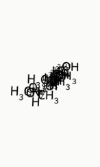 COC(=O)NC[C@@H](C)CCC1=C(C)[C@H]2[C@H](C[C@H]3[C@@H]4CC[C@H]5C[C@@H](O)CC[C@]5(C)[C@H]4CC[C@@]32C)O1